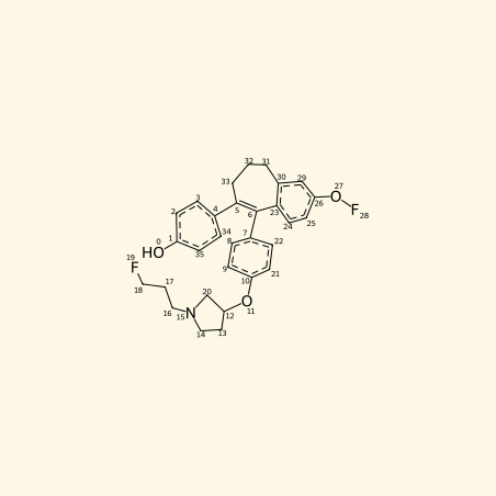 Oc1ccc(C2=C(c3ccc(OC4CCN(CCCF)C4)cc3)c3ccc(OF)cc3CCC2)cc1